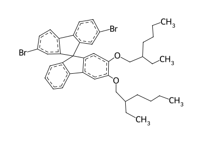 CCCCC(CC)COc1cc2c(cc1OCC(CC)CCCC)C1(c3ccccc3-2)c2cc(Br)ccc2-c2ccc(Br)cc21